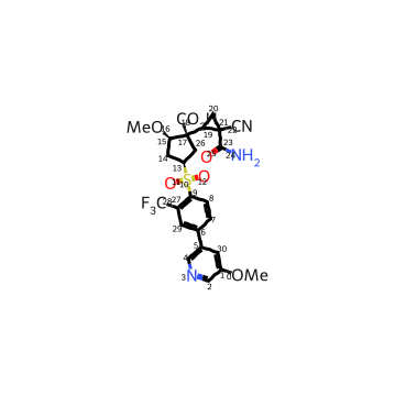 COc1cncc(-c2ccc(S(=O)(=O)[C@H]3C[C@@H](OC)[C@](C(=O)O)(C4CC4(C#N)C(N)=O)C3)c(C(F)(F)F)c2)c1